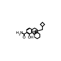 NC(=O)c1ccc2c(c1O)[C@@]13CCCC[C@@]1(O)C(C2)N(CC1CCC1)CC3